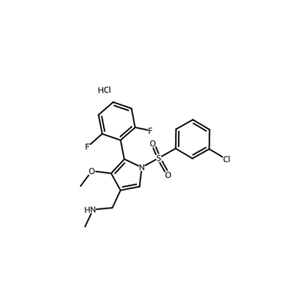 CNCc1cn(S(=O)(=O)c2cccc(Cl)c2)c(-c2c(F)cccc2F)c1OC.Cl